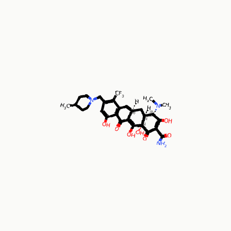 CC1CCN(Cc2cc(O)c3c(c2C(F)(F)F)C[C@H]2C[C@H]4[C@H](N(C)C)C(O)=C(C(N)=O)C(=O)[C@@]4(O)C(O)=C2C3=O)CC1